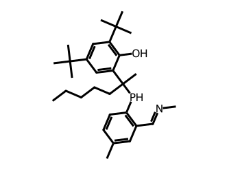 CCCCCC(C)(Pc1ccc(C)cc1/C=N/C)c1cc(C(C)(C)C)cc(C(C)(C)C)c1O